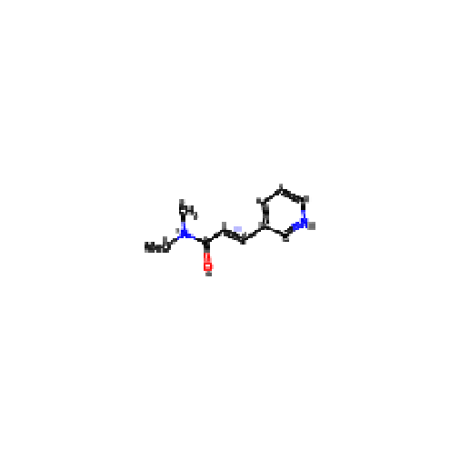 CON(C)C(=O)/C=C/c1cccnc1